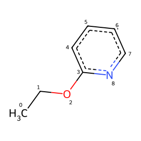 CCOc1cc[c]cn1